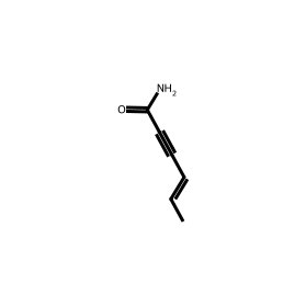 CC=CC#CC(N)=O